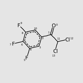 O=C(c1cc(F)c(F)c(F)c1)C(Cl)Cl